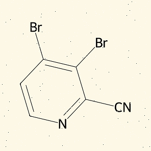 N#Cc1nccc(Br)c1Br